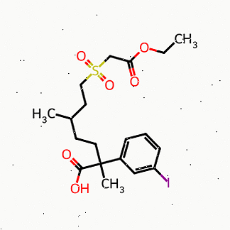 CCOC(=O)CS(=O)(=O)CCC(C)CCC(C)(C(=O)O)c1cccc(I)c1